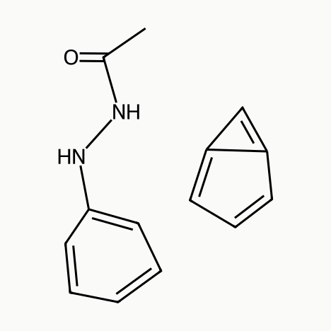 CC(=O)NNc1ccccc1.c1cc2cc-2c1